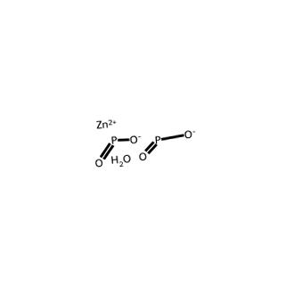 O.O=P[O-].O=P[O-].[Zn+2]